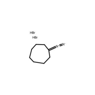 Br.Br.[N-]=[N+]=C1CCCCCCC1